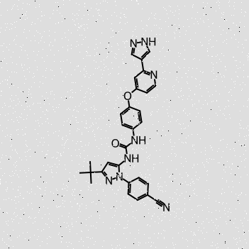 CC(C)(C)c1cc(NC(=O)Nc2ccc(Oc3ccnc(-c4cn[nH]c4)c3)cc2)n(-c2ccc(C#N)cc2)n1